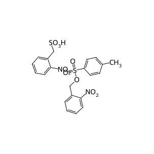 Cc1ccc(S(=O)(=O)OCc2ccccc2[N+](=O)[O-])cc1.O=[N+]([O-])c1ccccc1CS(=O)(=O)O